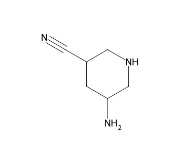 N#CC1CNCC(N)C1